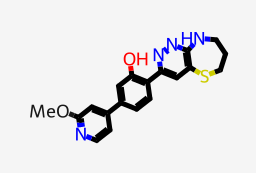 COc1cc(-c2ccc(-c3cc4c(nn3)NCCCS4)c(O)c2)ccn1